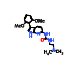 COc1cccc(OC)c1-c1c[nH]c2nc(NC(=O)NCCN(C)C)ccc12